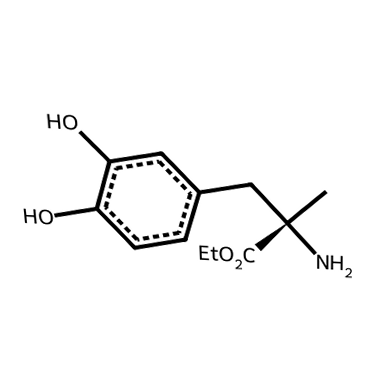 CCOC(=O)[C@@](C)(N)Cc1ccc(O)c(O)c1